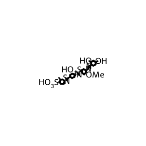 COc1cc(N=Nc2ccc(-c3nc4ccc(S(=O)(=O)O)c(C)c4s3)cc2)c(S(=O)(=O)O)cc1N=Nc1ccc(O)cc1O